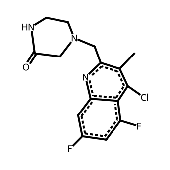 Cc1c(CN2CCNC(=O)C2)nc2cc(F)cc(F)c2c1Cl